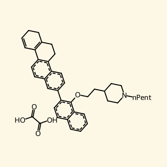 CCCCCN1CCC(CCOc2c(-c3ccc4c5c(ccc4c3)C3=C(CCC=C3)CC5)ccc3ccccc23)CC1.O=C(O)C(=O)O